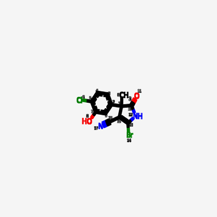 CC1(c2ccc(Cl)c(O)c2)C(=O)NC(Br)=C1C#N